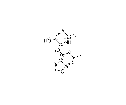 Cc1cc2occc2c(OC(NC(C)C)C(C)O)n1